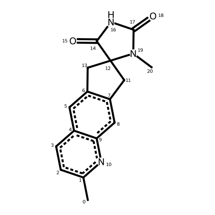 Cc1ccc2cc3c(cc2n1)CC1(C3)C(=O)NC(=O)N1C